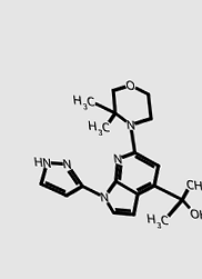 CC(C)(O)c1cc(N2CCOCC2(C)C)nc2c1ccn2-c1cc[nH]n1